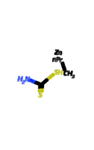 CCCC.NC(=S)S.[Zn]